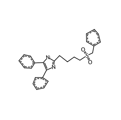 O=S(=O)(CCCCC1=NC(c2ccccc2)=C(c2ccccc2)[N]1)Cc1ccccc1